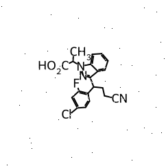 CC(C(=O)O)n1nc(C(CCC#N)c2ccc(Cl)cc2F)c2ccccc21